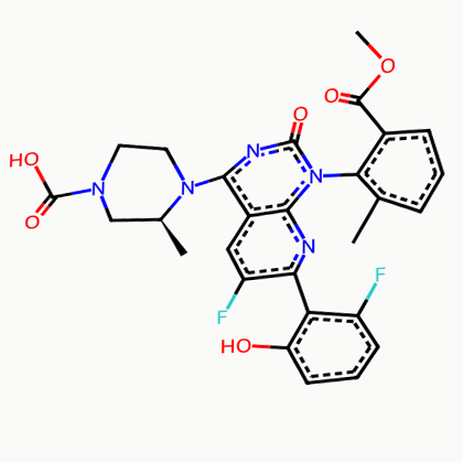 COC(=O)c1cccc(C)c1-n1c(=O)nc(N2CCN(C(=O)O)C[C@@H]2C)c2cc(F)c(-c3c(O)cccc3F)nc21